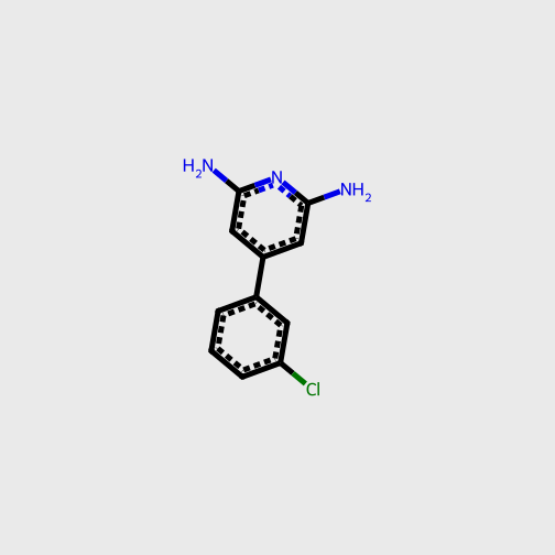 Nc1cc(-c2cccc(Cl)c2)cc(N)n1